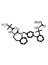 CNC(=O)NC(C)(C)c1ccccc1-c1ccc(CN2C(=O)[C@H](NC(=O)C(C)(C)N)CCc3ccccc32)cc1